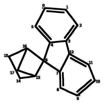 [c]1ccc2c(c1)C1(c3c[c]ccc3-2)C2CCC1C2